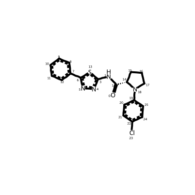 O=C(Nc1nnc(-c2ccccc2)s1)[C@@H]1CCCN1c1ccc(Cl)cc1